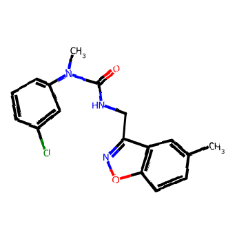 Cc1ccc2onc(CNC(=O)N(C)c3cccc(Cl)c3)c2c1